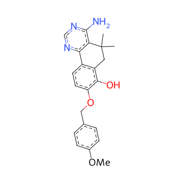 COc1ccc(COc2ccc3c(c2O)CC(C)(C)c2c(N)ncnc2-3)cc1